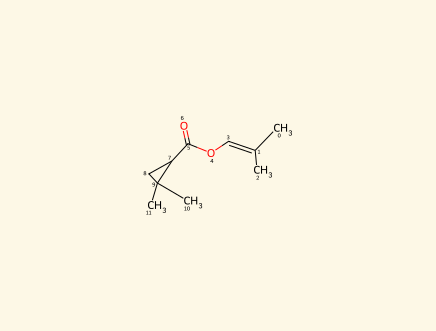 CC(C)=COC(=O)C1CC1(C)C